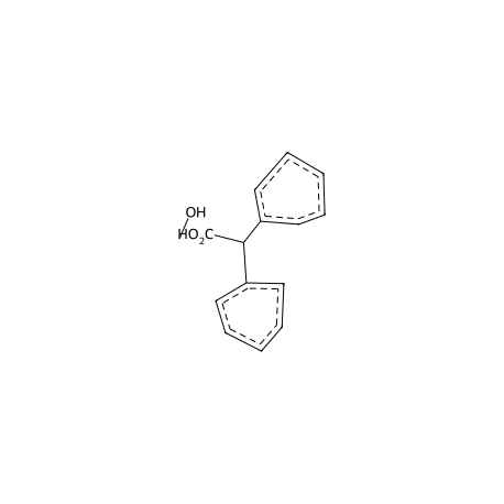 CO.O=C(O)C(c1ccccc1)c1ccccc1